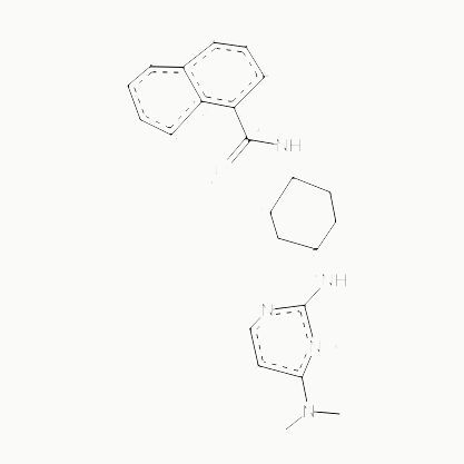 CN(C)c1ccnc(N[C@H]2CC[C@@H](NC(=O)c3cccc4ccccc34)CC2)n1